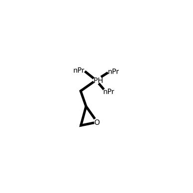 CCC[PH](CCC)(CCC)CC1CO1